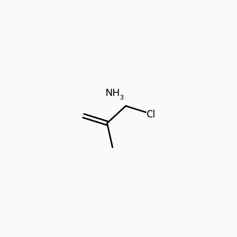 C=C(C)CCl.N